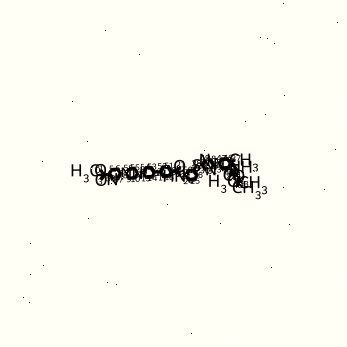 COC(=O)c1ccc(N2CCN(c3ccc(-c4ccc(C(=O)Nc5cccc(Sc6cnc(N7C=CC(C)(NC(=O)OC(C)(C)C)C=C7)cn6)c5)cc4)cc3)CC2)cn1